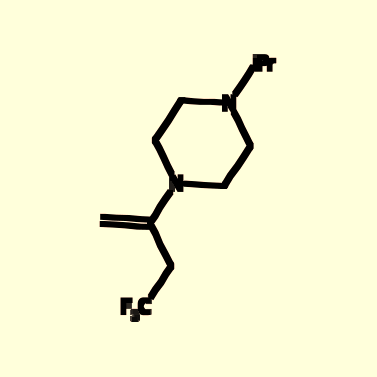 C=C(CC(F)(F)F)N1CCN(C(C)C)CC1